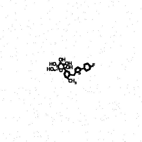 Cc1ccc(C2(O)O[C@H](CO)[C@H](O)[C@H](O)[C@H]2O)cc1Cc1ccc(-c2ccc(F)cc2)s1